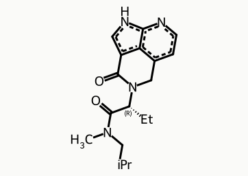 CC[C@H](C(=O)N(C)CC(C)C)N1Cc2ccnc3[nH]cc(c23)C1=O